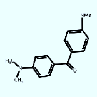 CNc1ccc(C(=O)c2ccc(N(C)C)cc2)cc1